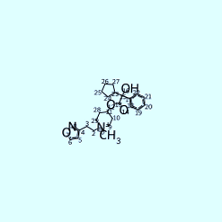 C[N+]1(CCc2ccon2)CCC(OC(=O)C(O)(c2ccccc2)C2CCCC2)CC1